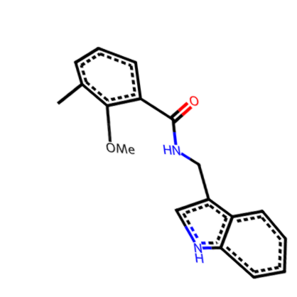 COc1c(C)cccc1C(=O)NCc1c[nH]c2ccccc12